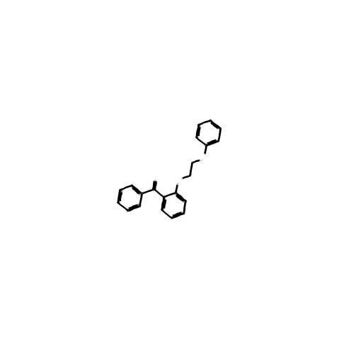 O=C(c1ccccc1)c1ccccc1OCCOc1ccccc1